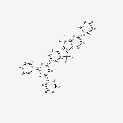 CC1(C)C2=C(c3ccc(-c4cc(-c5cccnc5)cc(-c5cccnc5)c4)cc31)C(C)(C)c1cc(-c3ccccn3)ccc12